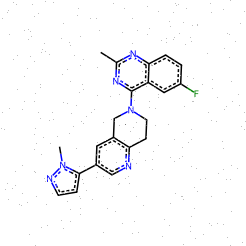 Cc1nc(N2CCc3ncc(-c4ccnn4C)cc3C2)c2cc(F)ccc2n1